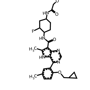 COCC(=O)NC1CCC(NC(=O)c2c(C)[nH]c3c(-c4cc(C)ccc4OCC4CC4)ncnc23)C(F)C1